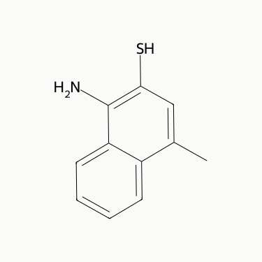 Cc1cc(S)c(N)c2ccccc12